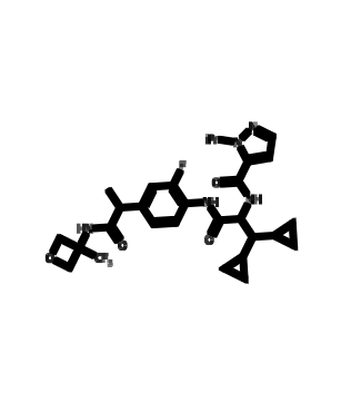 CC(C(=O)NC1(C(F)(F)F)COC1)c1ccc(NC(=O)C(NC(=O)c2ccnn2C(C)C)C(C2CC2)C2CC2)c(F)c1